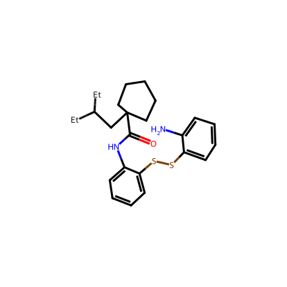 CCC(CC)CC1(C(=O)Nc2ccccc2SSc2ccccc2N)CCCCC1